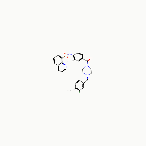 COc1ccc(CN2CCN(C(=O)c3ccc(NS(=O)(=O)c4cccc5cccnc45)c(OC)c3)CC2)cc1F